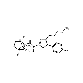 CCCCCN1N=C(C(=O)N[C@H]2C[C@H]3CC[C@]2(C)C3(C)C)CC1c1ccc(F)cc1